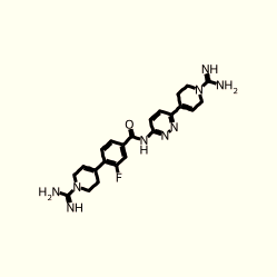 N=C(N)N1CC=C(c2ccc(NC(=O)c3ccc(C4=CCN(C(=N)N)CC4)c(F)c3)nn2)CC1